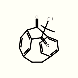 CC(C)(O)C(=O)c1cc2ccc1C(=O)c1ccc(cc1)CC2